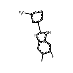 Fc1cc2nc(-c3ccnc(C(F)(F)F)c3)[nH]c2cc1F